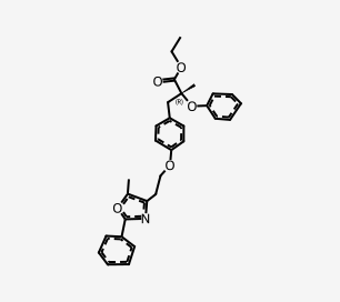 CCOC(=O)[C@@](C)(Cc1ccc(OCCc2nc(-c3ccccc3)oc2C)cc1)Oc1ccccc1